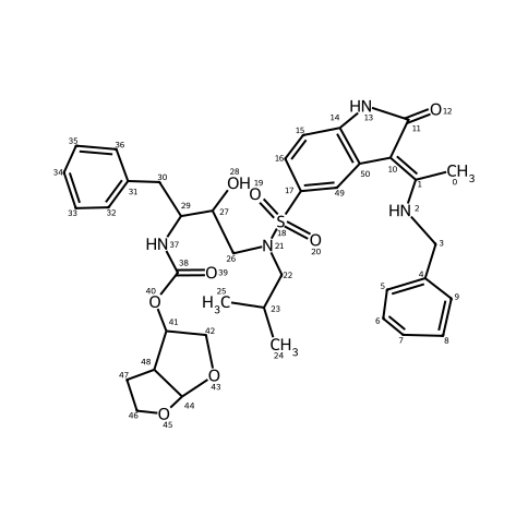 CC(NCc1ccccc1)=C1C(=O)Nc2ccc(S(=O)(=O)N(CC(C)C)CC(O)C(Cc3ccccc3)NC(=O)OC3COC4OCCC34)cc21